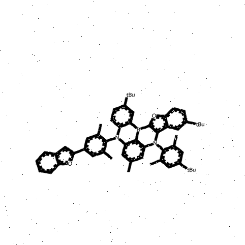 Cc1cc2c3c(c1)N(c1c(C)cc(C(C)(C)C)cc1C)c1c(oc4ccc(C(C)(C)C)cc14)B3c1cc(C(C)(C)C)ccc1N2c1c(C)cc(-c2cc3ccccc3o2)cc1C